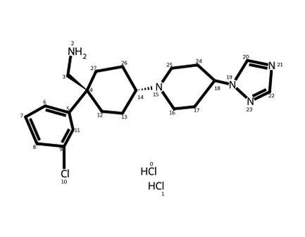 Cl.Cl.NC[C@]1(c2cccc(Cl)c2)CC[C@@H](N2CCC(n3cncn3)CC2)CC1